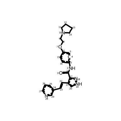 O=C(Nc1ccc(OCCN2CCCC2)cc1)c1n[nH]cc1C=Cc1cccnc1